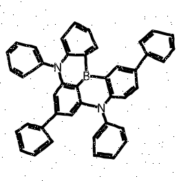 c1ccc(-c2ccc3c(c2)B2c4ccccc4N(c4ccccc4)c4cc(-c5ccccc5)cc(c42)N3c2ccccc2)cc1